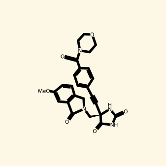 COc1ccc2c(c1)C(=O)N(C[C@@]1(C#Cc3ccc(C(=O)N4CCOCC4)cc3)NC(=O)NC1=O)C2